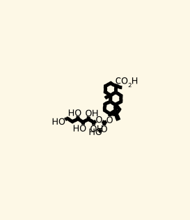 C=C1CC23CCC4C(C)(C(=O)O)CCCC4(C)C2CCC1(OC(OO)OC(O)C(O)C(O)C(O)CCO)C3